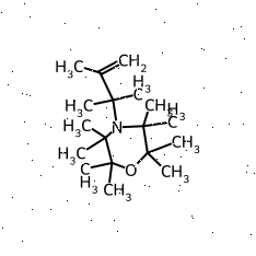 C=C(C)C(C)(C)N1C(C)(C)C(C)(C)OC(C)(C)C1(C)C